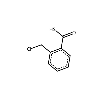 O=C(S)c1ccccc1CCl